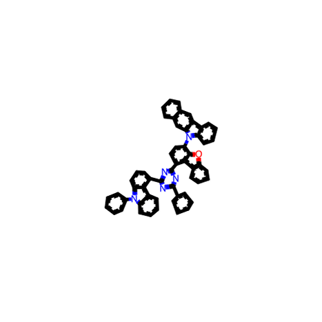 c1ccc(-c2nc(-c3ccc(-n4c5ccccc5c5cc6ccccc6cc54)c4oc5ccccc5c34)nc(-c3cccc4c3c3ccccc3n4-c3ccccc3)n2)cc1